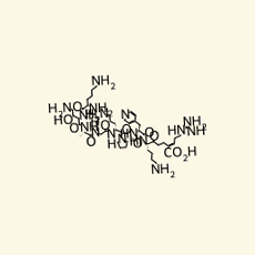 C[C@H](NC(=O)[C@@H](NC(=O)[C@@H](N)CCCCN)[C@@H](O)CN)C(=O)NCC(=O)N[C@H](CCCN)C(=O)N1CCC[C@H]1C(=O)N[C@@H](Cc1ccncc1)C(=O)N[C@@H](CCCCN)C(=O)CC/C(=C\CCNC(=N)N)C(=O)O